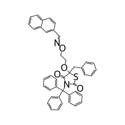 O=C1SC(Cc2ccccc2)(OCCON=Cc2ccc3ccccc3c2)C(=O)N1C(c1ccccc1)(c1ccccc1)c1ccccc1